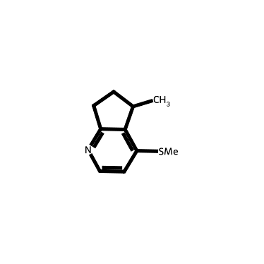 CSc1ccnc2c1C(C)CC2